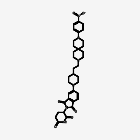 O=C1CCC(N2C(=O)c3ccc(N4CCC(CCN5CCC6(CC5)CCN(c5ccc([N+](=O)[O-])cc5)CC6)CC4)cc3C2=O)C(=O)N1